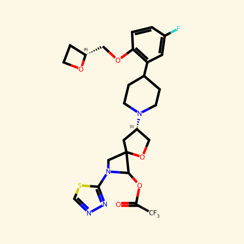 O=C(OC1N(c2nncs2)CC12C[C@H](N1CCC(c3cc(F)ccc3OC[C@H]3CCO3)CC1)CO2)C(F)(F)F